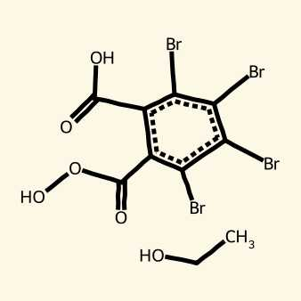 CCO.O=C(O)c1c(Br)c(Br)c(Br)c(Br)c1C(=O)OO